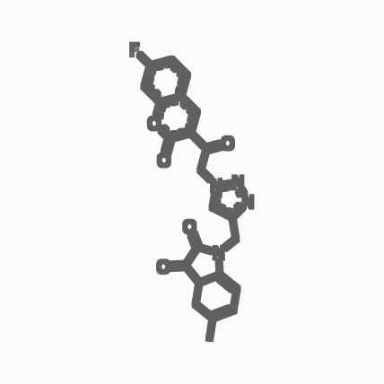 CC1=CC=C2C(C1)C(=O)C(=O)N2Cc1cn(CC(=O)c2cc3ccc(F)cc3oc2=O)nn1